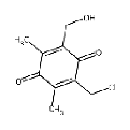 CC1=C(CO)C(=O)C(CCl)=C(C)C1=O